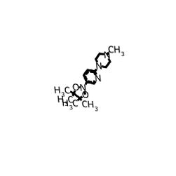 CN1CCN(c2ccc(N3OC(C)(C)C(C)(C)O3)cn2)CC1